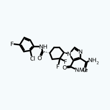 CNC(=O)c1c(C(N)=O)ncn1[C@@H]1CC[C@@H](C(=O)Nc2ccc(F)cc2Cl)CC1(F)F